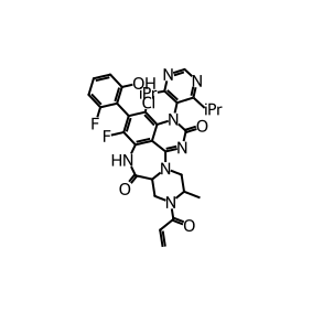 C=CC(=O)N1CC2C(=O)Nc3c(F)c(-c4c(O)cccc4F)c(Cl)c4c3c(nc(=O)n4-c3c(C(C)C)ncnc3C(C)C)N2CC1C